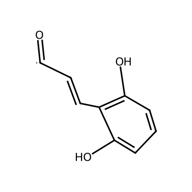 O=[C]C=Cc1c(O)cccc1O